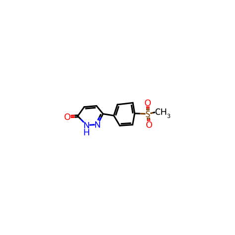 CS(=O)(=O)c1ccc(-c2ccc(=O)[nH]n2)cc1